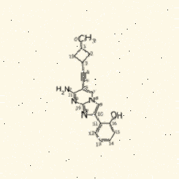 CC1CC(C#Cc2cn3cc(-c4ccccc4O)nc3nc2N)C1